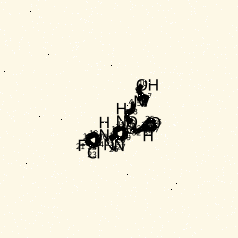 O=C(/C=C/CN1CCC1CO)Nc1cc2c(Nc3ccc(F)c(Cl)c3)ncnc2cc1OCC1C2COC[C@@H]21